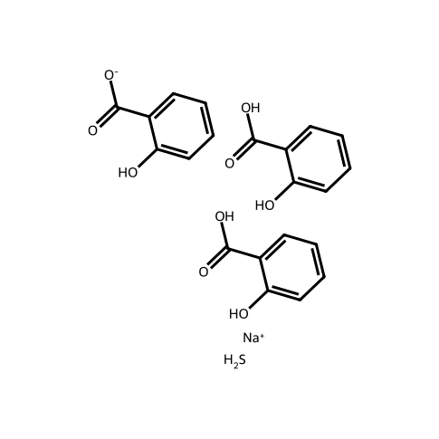 O=C(O)c1ccccc1O.O=C(O)c1ccccc1O.O=C([O-])c1ccccc1O.S.[Na+]